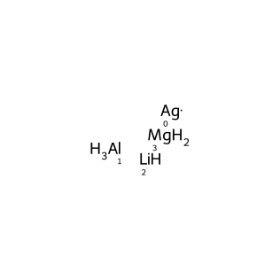 [Ag].[AlH3].[LiH].[MgH2]